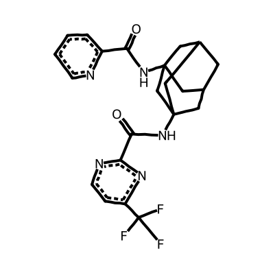 O=C(NC12CC3CC(C1)CC(NC(=O)c1nccc(C(F)(F)F)n1)(C3)C2)c1ccccn1